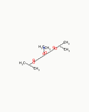 CCCCCC(CCCCC)CCCOC(=O)CCCCCCCCCC(CCCCCCCCCC(=O)OCCCC(CCCCC)CCCCC)OC(=O)CCCN(C)C